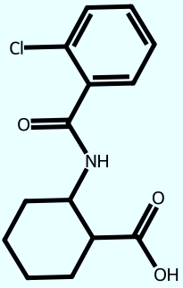 O=C(NC1CCCCC1C(=O)O)c1ccccc1Cl